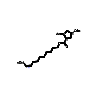 CCCCCCCC/C=C\CCCCCCCCOC(=O)[C@@H]1C[C@@H](OC(C)=O)CN1C(C)=O